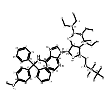 CCOC1C(OP(N(CC)CC)N(CC)CC)[C@H](n2cnc3c(NC(c4ccccc4)(c4ccccc4)c4ccc(OC)cc4)ncnc32)O[C@@H]1CO[Si](C)(C)C(C)(C)C